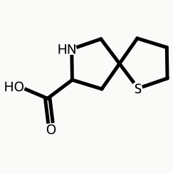 O=C(O)C1CC2(CCCS2)CN1